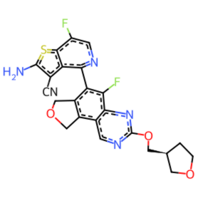 N#Cc1c(N)sc2c(F)cnc(-c3c4c(c5cnc(OC[C@H]6CCOC6)nc5c3F)COC4)c12